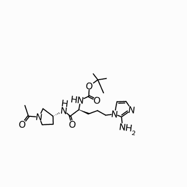 CC(=O)N1CC[C@@H](NC(=O)[C@H](CCCn2ccnc2N)NC(=O)OC(C)(C)C)C1